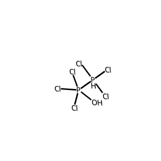 OP(Cl)(Cl)(Cl)[PH](Cl)(Cl)Cl